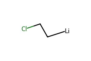 [Li][CH2]CCl